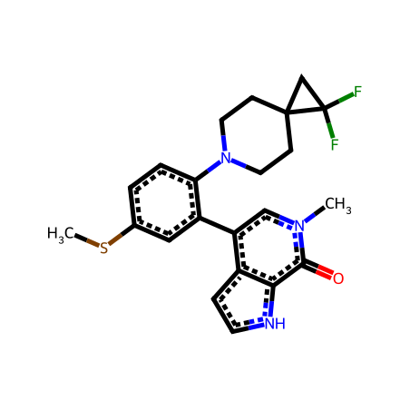 CSc1ccc(N2CCC3(CC2)CC3(F)F)c(-c2cn(C)c(=O)c3[nH]ccc23)c1